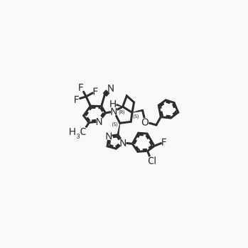 Cc1cc(C(F)(F)F)c(C#N)c(N2[C@H](c3nccn3-c3ccc(F)c(Cl)c3)C[C@@]3(COCc4ccccc4)CC[C@@H]23)n1